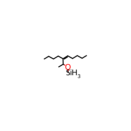 CCCCC=C(CCCC)C(C)O[SiH3]